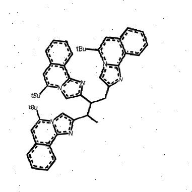 CC(c1cn2c(C(C)(C)C)cc3ccccc3c2n1)C(Cc1cn2c(C(C)(C)C)cc3ccccc3c2n1)c1cn2c(C(C)(C)C)cc3ccccc3c2n1